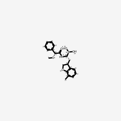 CO[C@@H](C(=O)N[C@@H](CC1COc2c(C)cccc21)B(O)O)c1ccccc1